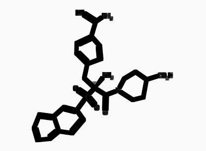 N=C(N)c1ccc(C[C@](N)(C(=O)N2CCC(C(=O)O)CC2)S(=O)(=O)c2ccc3ccccc3c2)cc1